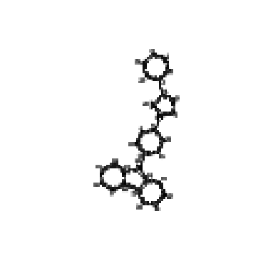 c1ccc(-c2ccn(-c3ccc(-n4c5ccccc5c5ccccc54)cc3)n2)cc1